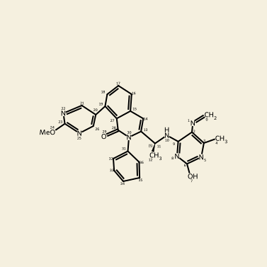 C=Nc1c(C)nc(O)nc1N[C@@H](C)c1cc2cccc(-c3cnc(OC)nc3)c2c(=O)n1-c1ccccc1